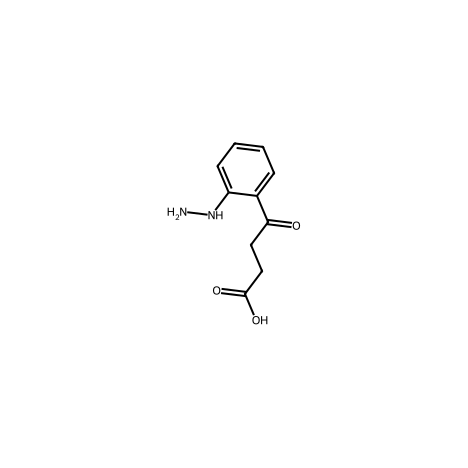 NNc1ccccc1C(=O)CCC(=O)O